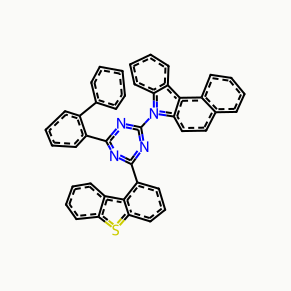 c1ccc(-c2ccccc2-c2nc(-c3cccc4sc5ccccc5c34)nc(-n3c4ccccc4c4c5ccccc5ccc43)n2)cc1